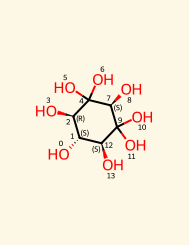 O[C@@H]1[C@@H](O)C(O)(O)[C@@H](O)C(O)(O)[C@H]1O